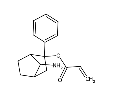 C=CC(=O)OC1(c2ccccc2)CC2CCC1C2N